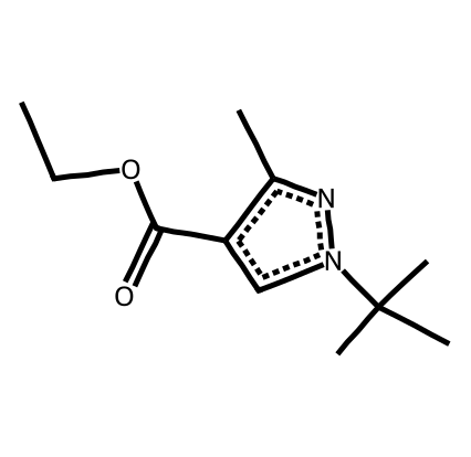 CCOC(=O)c1cn(C(C)(C)C)nc1C